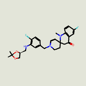 CN1c2ccc(F)cc2C(=O)CC12CCN(Cc1ccc(F)c(NC[C@H]3COC(C)(C)O3)c1)CC2